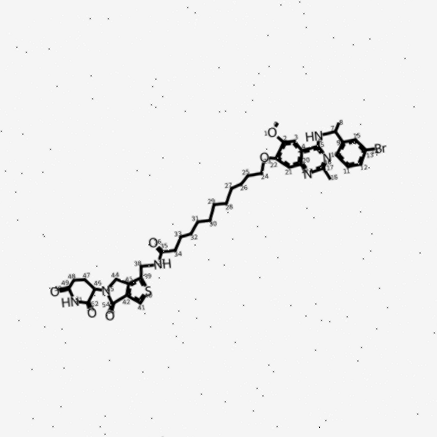 COc1cc2c(NC(C)c3cccc(Br)c3)nc(C)nc2cc1OCCCCCCCCCCCC(=O)NCc1scc2c1CN(C1CCC(=O)NC1=O)C2=O